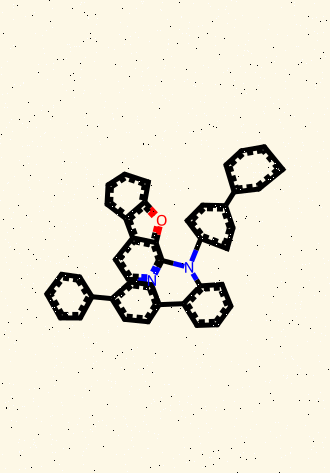 c1ccc(-c2ccc(-c3ccccc3N(c3ccc(-c4ccccc4)cc3)c3nccc4c3oc3ccccc34)cc2)cc1